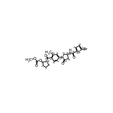 COC(=O)OC1CCCN1C(=O)c1ccc(N2CC(NC(=O)c3ccc(Br)s3)CC2=O)cc1C